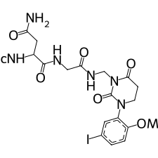 COc1ccc(I)cc1N1CCC(=O)N(CNC(=O)CNC(=O)C(CC(N)=O)NC(C)=O)C1=O